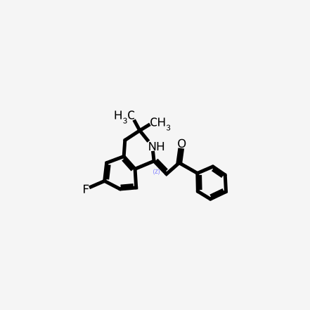 CC1(C)Cc2cc(F)ccc2/C(=C/C(=O)c2ccccc2)N1